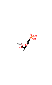 C=C(COCCCOP(=O)(O)O)C(=O)OC